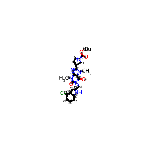 Cn1c(C2=CCN(C(=O)OC(C)(C)C)C2)nc2c1c(=O)n(Cc1cc3c(Cl)cccc3[nH]1)c(=O)n2C